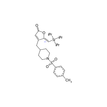 Cc1ccc(S(=O)(=O)N2CCC(CC3=CC(=O)O/C3=C\[Si](C(C)C)(C(C)C)C(C)C)CC2)cc1